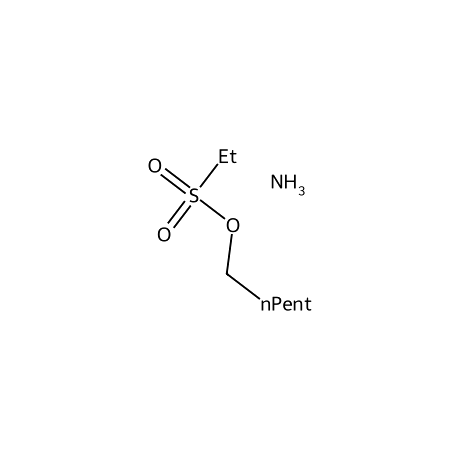 CCCCCCOS(=O)(=O)CC.N